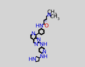 CN(C)C/C=C/C(=O)Nc1cccc(-c2nccc3cnc(Nc4ccc(NC5CCNC5)nc4)nc23)c1